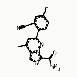 Cc1cc(-c2ccc(F)cc2C#N)nn2c(C(N)=O)ncc12